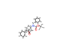 CC(C)(C)OC(=O)N(Cc1ccccc1)C12CCC(c3ccccc3)(CC1)C(=O)C2